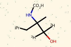 [2H]C([2H])(O)C(C)(CC(C)C)NC(=O)O